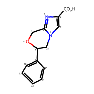 O=C(O)c1cn2c(n1)COC(c1ccccc1)C2